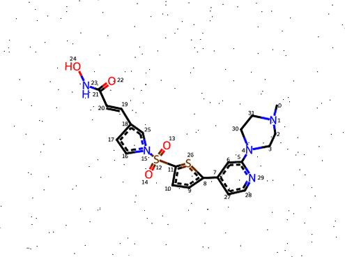 CN1CCN(c2cc(-c3ccc(S(=O)(=O)n4ccc(/C=C/C(=O)NO)c4)s3)ccn2)CC1